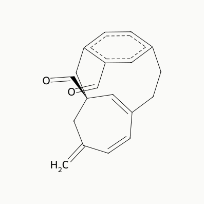 C=C1C=CC2=C[C@](C=O)(C1)Cc1ccc(cc1C=O)CC2